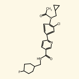 CC(=O)N(CC1CC1)c1ccc(-c2ccc(C(=O)NCC3CCC(F)CC3)cn2)cc1Cl